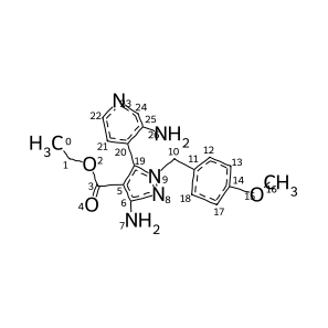 CCOC(=O)c1c(N)nn(Cc2ccc(OC)cc2)c1-c1ccncc1N